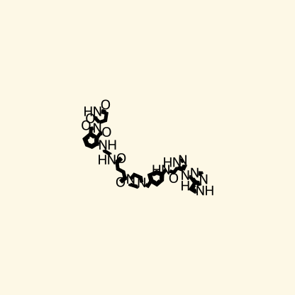 O=C(CCC(=O)N1CCN(Cc2ccc(NC(=O)c3[nH]ncc3Nc3ncnc4[nH]ccc34)cc2)CC1)NCCNc1cccc2c1C(=O)N(C1CCC(=O)NC1=O)C2=O